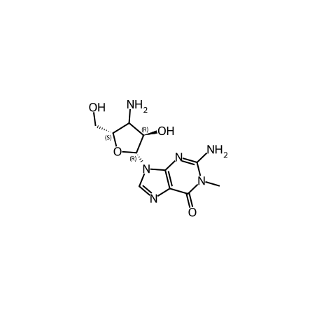 Cn1c(N)nc2c(ncn2[C@@H]2O[C@H](CO)C(N)[C@H]2O)c1=O